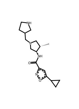 C[C@H]1CN(CC2CCNC2)C[C@@H]1NC(=O)c1cc(C2CC2)on1